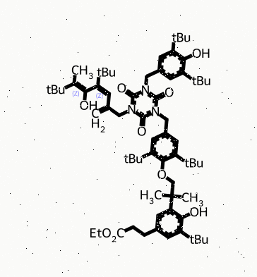 C=C(/C=C(\C(O)=C(/C)C(C)(C)C)C(C)(C)C)Cn1c(=O)n(Cc2cc(C(C)(C)C)c(O)c(C(C)(C)C)c2)c(=O)n(Cc2cc(C(C)(C)C)c(OCC(C)(C)c3cc(CCC(=O)OCC)cc(C(C)(C)C)c3O)c(C(C)(C)C)c2)c1=O